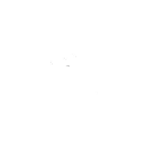 CC[C@@]1(Cc2ccc(OC(F)F)cc2)CNCCN1C(=O)O.O=C(O)/C=C/C(=O)O